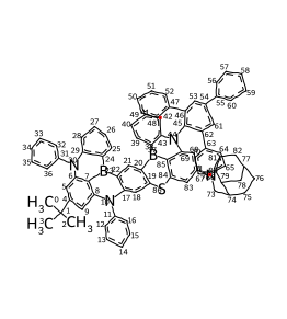 CC(C)(C)c1cc2c3c(c1)N(c1ccccc1)c1cc4c(cc1B3c1ccccc1N2c1ccccc1)B1c2ccccc2N(c2c(-c3ccccc3)cc(-c3ccccc3)cc2-c2ccccc2)c2cc(N3CC5CCC6CC5CC3C6)cc(c21)S4